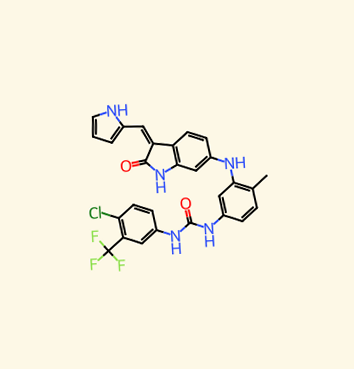 Cc1ccc(NC(=O)Nc2ccc(Cl)c(C(F)(F)F)c2)cc1Nc1ccc2c(c1)NC(=O)C2=Cc1ccc[nH]1